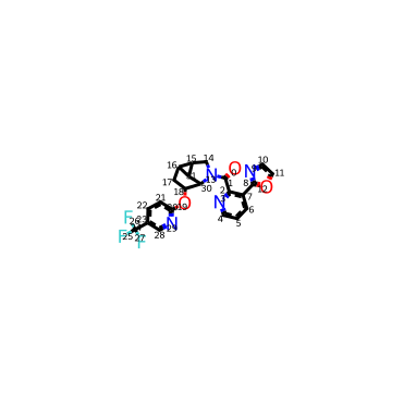 O=C(c1ncccc1-c1ncco1)N1CC2C3CC(Oc4ccc(C(F)(F)F)cn4)C1C32